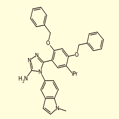 CC(C)c1cc(-c2nnc(N)n2-c2ccc3c(ccn3C)c2)c(OCc2ccccc2)cc1OCc1ccccc1